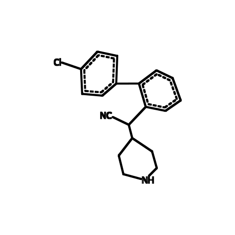 N#CC(c1ccccc1-c1ccc(Cl)cc1)C1CCNCC1